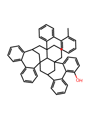 Cc1ccccc1-c1ccccc1C12CCCC34CC(CC5(CC(C1)c1ccccc1-c1ccccc15)C23)c1ccccc1-c1c(O)cccc14